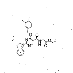 CCOC(=O)CNC(=O)c1cnc(N2CCc3ccccc32)nc1OCc1ccc(C)c(C)c1